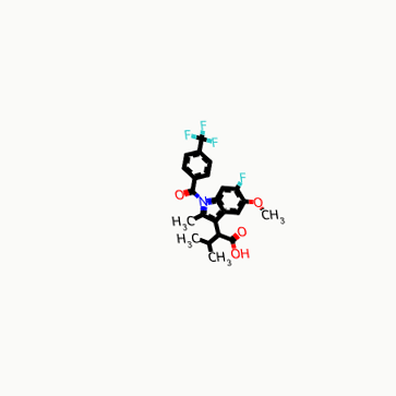 COc1cc2c(C(C(=O)O)C(C)C)c(C)n(C(=O)c3ccc(C(F)(F)F)cc3)c2cc1F